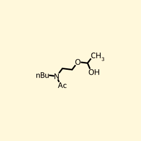 CCCCN(CCOC(C)O)C(C)=O